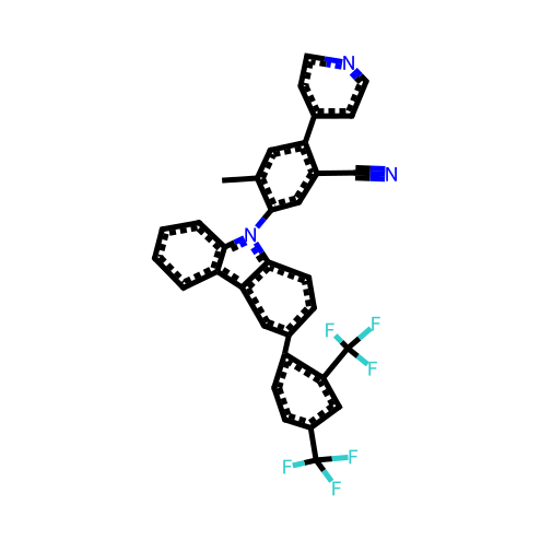 Cc1cc(-c2ccncc2)c(C#N)cc1-n1c2ccccc2c2cc(-c3ccc(C(F)(F)F)cc3C(F)(F)F)ccc21